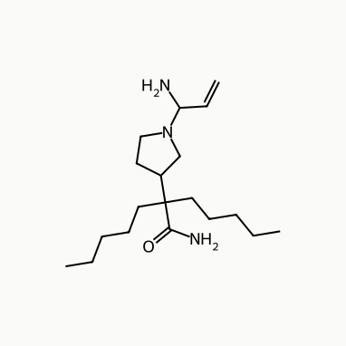 C=CC(N)N1CCC(C(CCCCC)(CCCCC)C(N)=O)C1